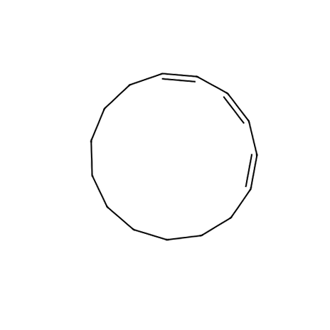 C1=CC=CCCCCCCCCCC=C1